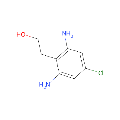 Nc1cc(Cl)cc(N)c1CCO